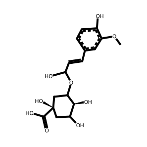 COc1cc(/C=C/C(O)OC2C[C@@](O)(C(=O)O)CC(O)[C@@H]2O)ccc1O